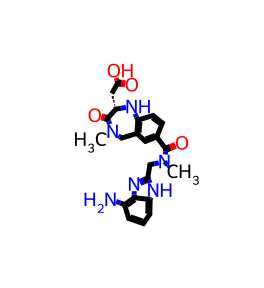 CN(Cc1nc2c(N)cccc2[nH]1)C(=O)c1ccc2c(c1)CN(C)C(=O)[C@H](CC(=O)O)N2